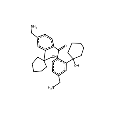 NCc1ccc(C(=O)c2ccc(CN)cc2C2(O)CCCCC2)c(C2(O)CCCCC2)c1